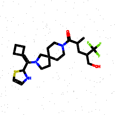 CC(CC(CO)C(F)(F)F)C(=O)N1CCC2(CC1)CCN(C(=C1CCC1)C1NC=CS1)C2